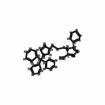 Sc1nnc(-c2ccccc2)n1CCCc1cn(C(c2ccccc2)(c2ccccc2)c2ccccc2)cn1